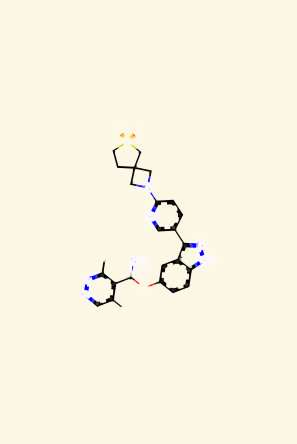 Cc1cnnc(C)c1[C@@H](N)Oc1ccc2[nH]nc(-c3ccc(N4CC5(CCS(=O)(=O)C5)C4)nc3)c2c1